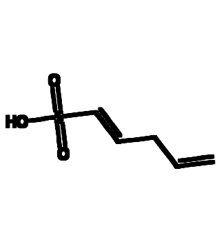 C=CCC=CS(=O)(=O)O